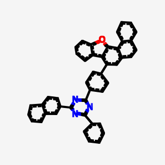 c1ccc(-c2nc(-c3ccc(-c4cc5ccc6ccccc6c5c5oc6ccccc6c45)cc3)nc(-c3ccc4ccccc4c3)n2)cc1